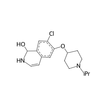 CC(C)N1CCC(Oc2cc3c(cc2Cl)C(O)NC=C3)CC1